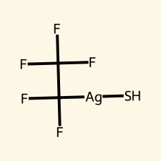 FC(F)(F)[C](F)(F)[Ag][SH]